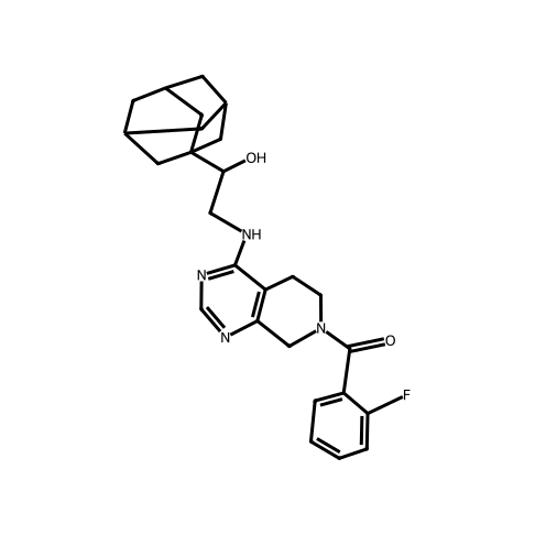 O=C(c1ccccc1F)N1CCc2c(ncnc2NCC(O)C23CC4CC(CC(C4)C2)C3)C1